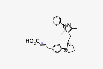 Cc1nn(-c2ccccc2)c(C)c1CCN1CCC[C@H]1c1ccc(C/C=C/C(=O)O)cc1